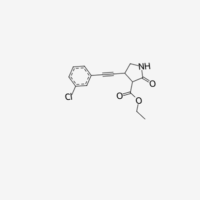 CCOC(=O)C1C(=O)NCC1C#Cc1cccc(Cl)c1